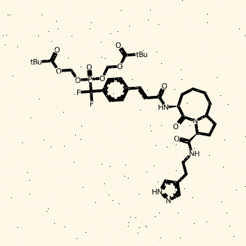 CC(C)(C)C(=O)OCOP(=O)(OCOC(=O)C(C)(C)C)C(F)(F)c1ccc(/C=C/C(=O)N[C@H]2CCCCC3CC[C@@H](C(=O)NCCc4cn[nH]c4)N3C2=O)cc1